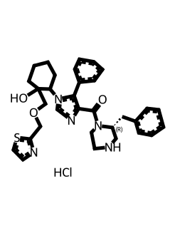 Cl.O=C(c1ncn(C2CCCCC2(O)COCc2nccs2)c1-c1ccccc1)N1CCNC[C@H]1Cc1ccccc1